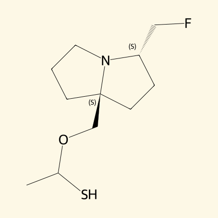 CC(S)OC[C@@]12CCCN1[C@H](CF)CC2